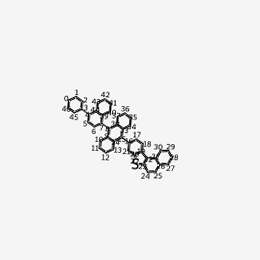 c1ccc(-c2ccc(-c3c4ccccc4c(-c4ccc5c(c4)sc4ccc6ccccc6c45)c4ccccc34)c3ccccc23)cc1